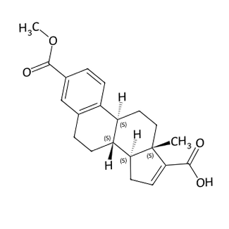 COC(=O)c1ccc2c(c1)CC[C@@H]1[C@@H]2CC[C@]2(C)C(C(=O)O)=CC[C@@H]12